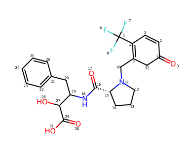 O=C1C=CC(C(F)(F)F)=C(CN2CCC[C@@H]2C(=O)NC(Cc2ccccc2)C(O)C(=O)O)C1